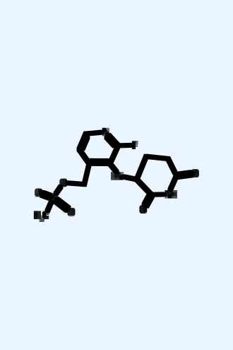 CS(=O)(=O)OCc1ccnc(F)c1NC1CCC(=O)NC1=O